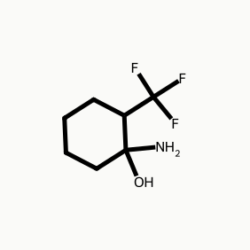 NC1(O)CCCCC1C(F)(F)F